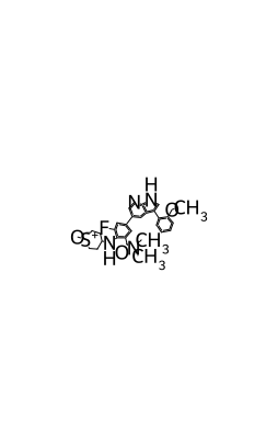 COc1ccccc1-c1c[nH]c2ncc(-c3cc(F)c(NC4CC[S+]([O-])CC4)c(C(=O)N(C)C)c3)cc12